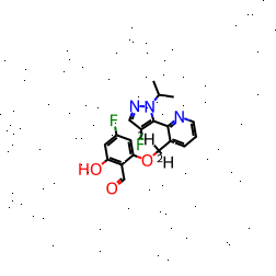 [2H]C([2H])(Oc1cc(F)cc(O)c1C=O)c1cccnc1-c1c(F)cnn1C(C)C